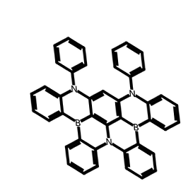 c1ccc(N2c3ccccc3B3c4ccccc4N4c5ccccc5B5c6ccccc6N(c6ccccc6)c6cc2c3c4c65)cc1